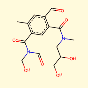 Cc1cc(C=O)c(C(=O)N(C)CC(O)CO)cc1C(=O)N(C=O)CO